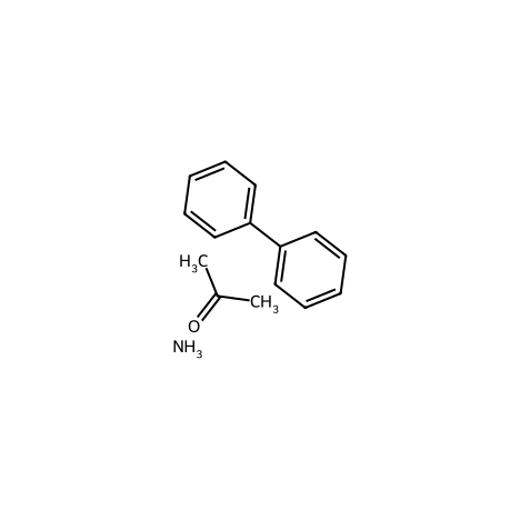 CC(C)=O.N.c1ccc(-c2ccccc2)cc1